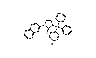 O=C1C([P+](c2ccccc2)(c2ccccc2)c2ccccc2)CCN1c1ccc2ccccc2c1.[Br-]